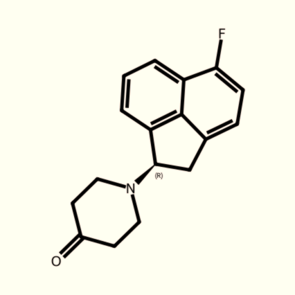 O=C1CCN([C@@H]2Cc3ccc(F)c4cccc2c34)CC1